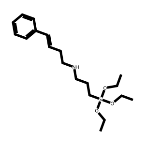 CCO[Si](CCCNCCC=Cc1ccccc1)(OCC)OCC